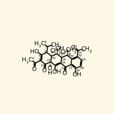 CC(=O)C1=C(O)C(C(C)C)[C@@]2(C)[C@H](O)[C@]3(C)C(=C(O)[C@@]2(O)C1=O)C(=O)c1c(O)ccc(C(C)=O)c1[C@H]3C